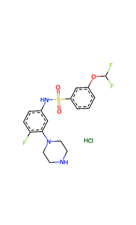 Cl.O=S(=O)(Nc1ccc(F)c(N2CCNCC2)c1)c1cccc(OC(F)F)c1